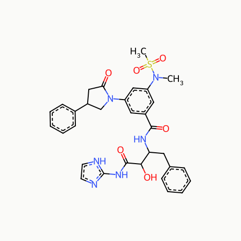 CN(c1cc(C(=O)NC(Cc2ccccc2)C(O)C(=O)Nc2ncc[nH]2)cc(N2CC(c3ccccc3)CC2=O)c1)S(C)(=O)=O